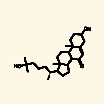 C[C@H](CCCC(C)(C)O)C1CCC2C3C(=O)C=C4CC(O)CCC4(C)C3CCC21C